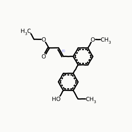 CCOC(=O)/C=C/c1cc(OC)ccc1-c1ccc(O)c(CC)c1